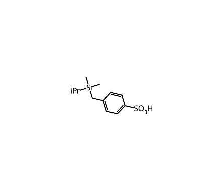 CC(C)[Si](C)(C)Cc1ccc(S(=O)(=O)O)cc1